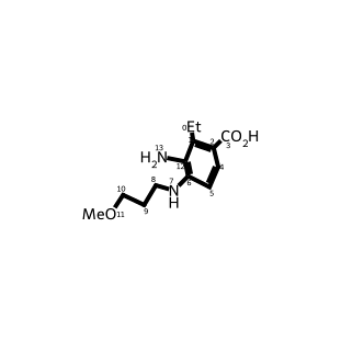 CCc1c(C(=O)O)ccc(NCCCOC)c1N